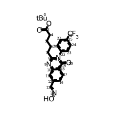 CC(C)(C)OC(=O)CCCCc1nc2cc(/C=N/O)ccc2c(=O)n1-c1ccc(C(F)(F)F)cc1